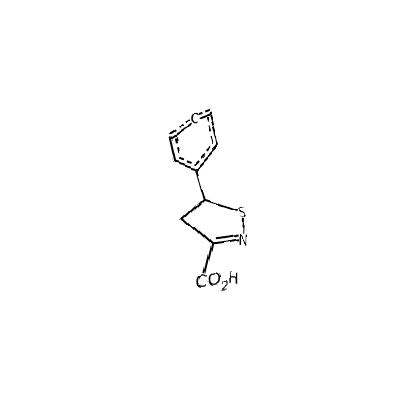 O=C(O)C1=NSC(c2ccccc2)C1